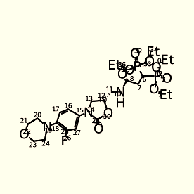 CCOP(=O)(OCC)C(CC(=O)NC[C@H]1CN(c2ccc(N3CCOCC3)c(F)c2)C(=O)O1)P(=O)(OCC)OCC